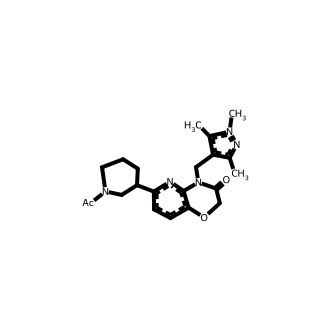 CC(=O)N1CCCC(c2ccc3c(n2)N(Cc2c(C)nn(C)c2C)C(=O)CO3)C1